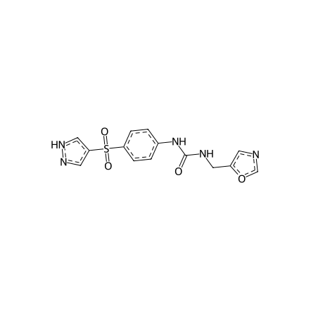 O=C(NCc1cnco1)Nc1ccc(S(=O)(=O)c2cn[nH]c2)cc1